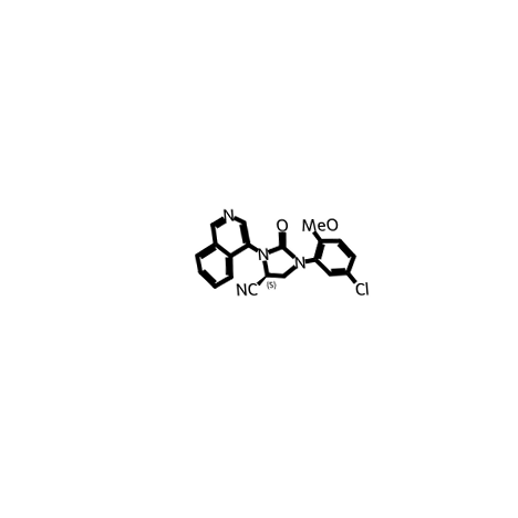 COc1ccc(Cl)cc1N1C[C@@H](C#N)N(c2cncc3ccccc23)C1=O